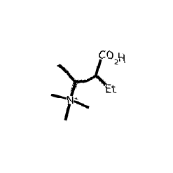 CCC(C(=O)O)C(C)[N+](C)(C)C